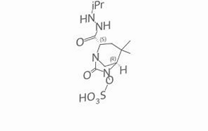 CC(C)NNC(=O)[C@@H]1CC(C)(C)[C@@H]2CN1C(=O)N2OS(=O)(=O)O